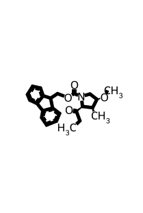 CCC(=O)[C@@H]1[C@H](C)[C@@H](OC)CN1C(=O)OCC1c2ccccc2-c2ccccc21